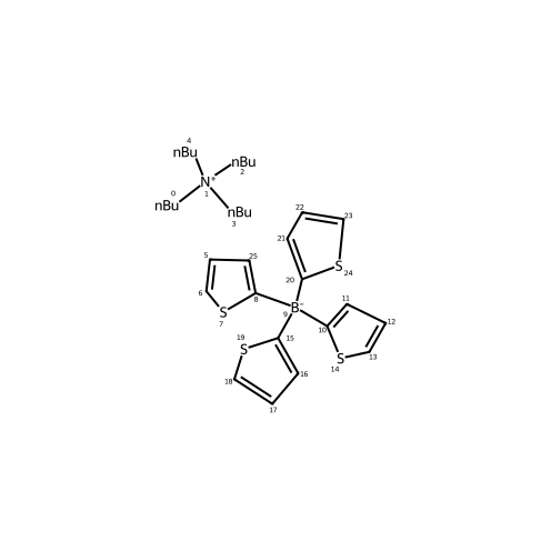 CCCC[N+](CCCC)(CCCC)CCCC.c1csc([B-](c2cccs2)(c2cccs2)c2cccs2)c1